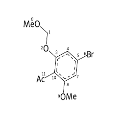 COCOc1cc(Br)cc(OC)c1C(C)=O